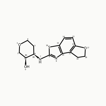 O[C@H]1COCC[C@H]1Nc1nc2c3c(ccc2s1)OCC3